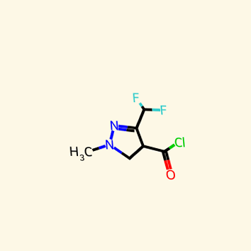 CN1CC(C(=O)Cl)C(C(F)F)=N1